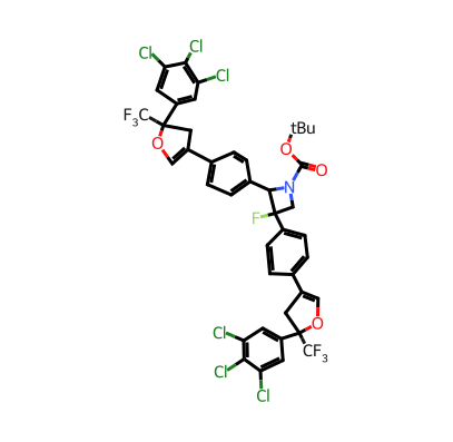 CC(C)(C)OC(=O)N1CC(F)(c2ccc(C3=COC(c4cc(Cl)c(Cl)c(Cl)c4)(C(F)(F)F)C3)cc2)C1c1ccc(C2=COC(c3cc(Cl)c(Cl)c(Cl)c3)(C(F)(F)F)C2)cc1